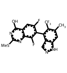 CSc1nc(O)c2cc(F)c(-c3c(C(F)(F)F)c(C)cc4[nH]ncc34)c(F)c2n1